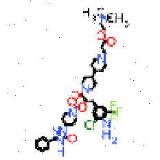 CN(C)CCOC(=O)CCN1CCC(C2CCN(C(=O)[C@@H](Cc3cc(Cl)c(N)c(C(F)(F)F)c3)OC(=O)N3CCC(n4nc(-c5ccccc5)[nH]c4=O)CC3)CC2)CC1